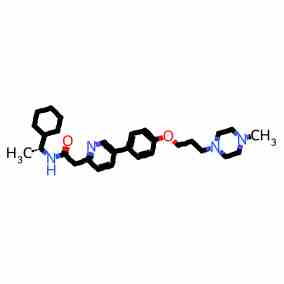 C[C@@H](NC(=O)Cc1ccc(-c2ccc(OCCCN3CCN(C)CC3)cc2)cn1)C1CCCCC1